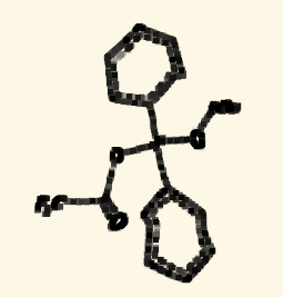 CCCCO[I+](OC(=O)C(F)(F)F)(c1ccccc1)c1ccccc1